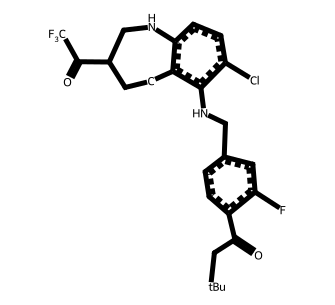 CC(C)(C)CC(=O)c1ccc(CNc2c(Cl)ccc3c2CCC(C(=O)C(F)(F)F)CN3)cc1F